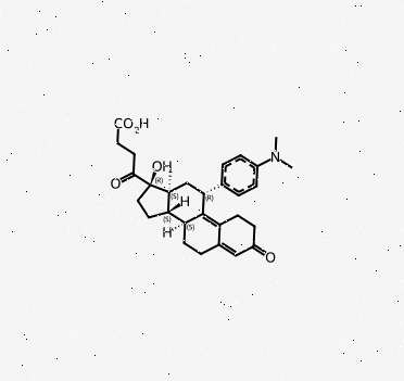 CN(C)c1ccc([C@H]2C[C@@]3(C)[C@@H](CC[C@]3(O)C(=O)CCC(=O)O)[C@@H]3CCC4=CC(=O)CCC4=C32)cc1